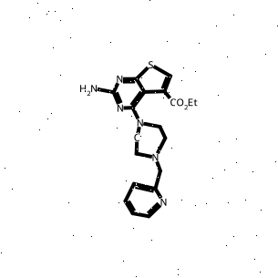 CCOC(=O)c1csc2nc(N)nc(N3CCN(Cc4ccccn4)CC3)c12